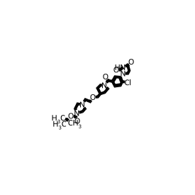 CC(C)(C)OC(=O)N1CCN(CCOCC2CCN(C(=O)c3ccc(Cl)c(N4CCC(=O)NC4=O)c3)CC2)CC1